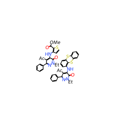 CCn1nc(-c2ccccc2)c(C(C)=O)c(Nc2cccc3c2Sc2ccccc2S3)c1=O.CCn1nc(-c2ccccc2)c(C(C)=O)c(Nc2ccsc2C(=O)OC)c1=O